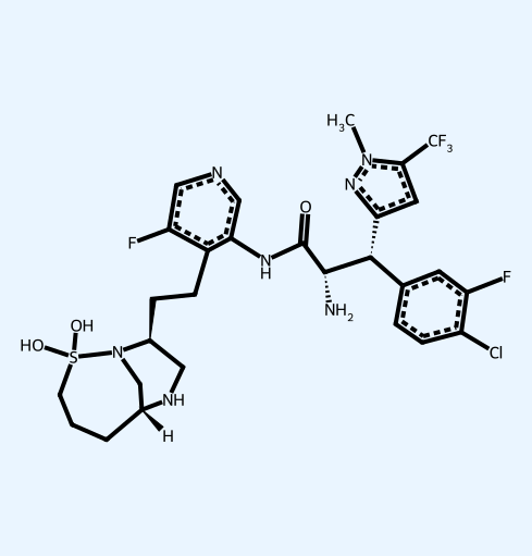 Cn1nc([C@H](c2ccc(Cl)c(F)c2)[C@H](N)C(=O)Nc2cncc(F)c2CC[C@H]2CN[C@@H]3CCCS(O)(O)N2C3)cc1C(F)(F)F